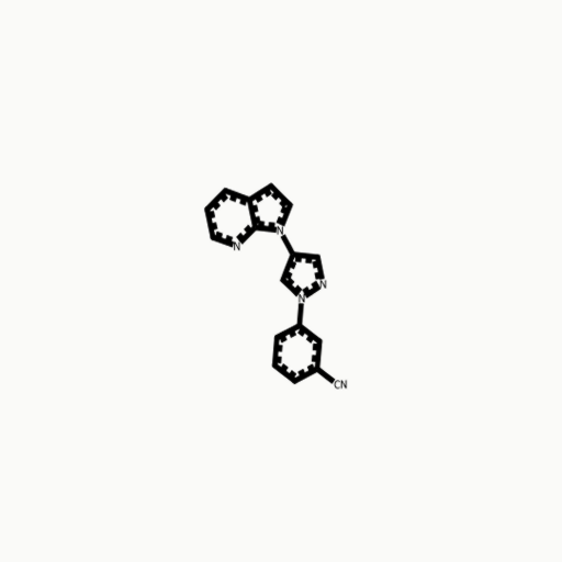 N#Cc1cccc(-n2cc(-n3ccc4cccnc43)cn2)c1